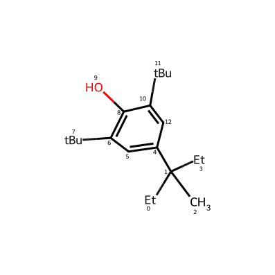 CCC(C)(CC)c1cc(C(C)(C)C)c(O)c(C(C)(C)C)c1